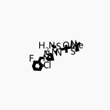 COC(C)(C1=NN(c2ccn(Cc3c(F)cccc3Cl)n2)C(N)S1)c1nc(C)cs1